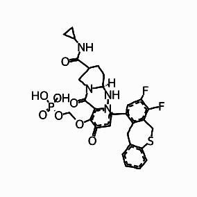 O=C(NC1CC1)C1CC[C@H]2Nn3c(-c4cc(F)c(F)c5c4Cc4ccccc4SC5)cc(=O)c(OCOP(=O)(O)O)c3C(=O)N2C1